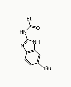 CCCCc1ccc2nc(NC(=O)CC)[nH]c2c1